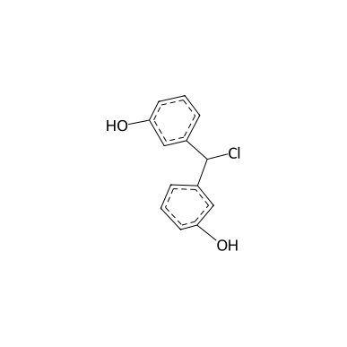 Oc1cccc(C(Cl)c2cccc(O)c2)c1